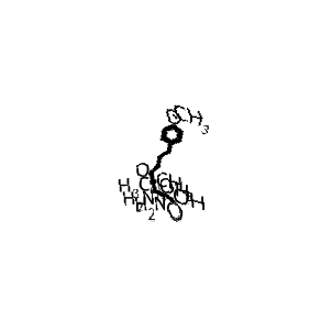 COc1ccc(CCCC(=O)C(C)(C)[C@@H](N)[C@](N)(O)C(=O)O)cc1